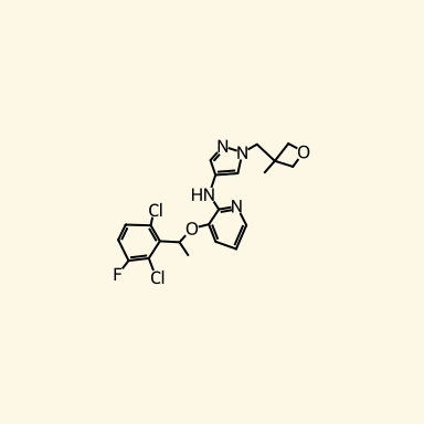 CC(Oc1cccnc1Nc1cnn(CC2(C)COC2)c1)c1c(Cl)ccc(F)c1Cl